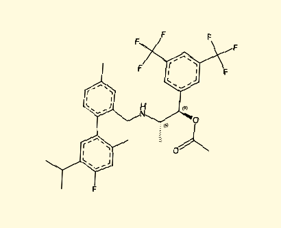 CC(=O)O[C@H](c1cc(C(F)(F)F)cc(C(F)(F)F)c1)[C@H](C)NCc1cc(C)ccc1-c1cc(C(C)C)c(F)cc1C